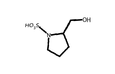 O=S(=O)(O)N1CCCC1CO